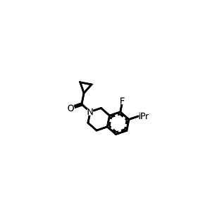 CC(C)c1ccc2c(c1F)CN(C(=O)C1CC1)CC2